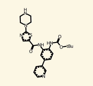 CC(C)(C)OC(=O)Nc1ccc(-c2cccnc2)cc1NC(=O)c1cnc(N2CCNCC2)s1